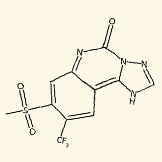 CS(=O)(=O)c1cc2nc(=O)n3nc[nH]c3c2cc1C(F)(F)F